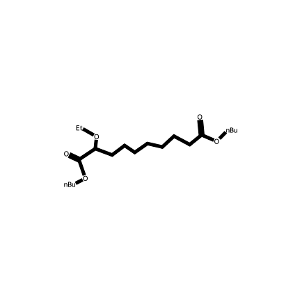 CCCCOC(=O)CCCCCCCC(OCC)C(=O)OCCCC